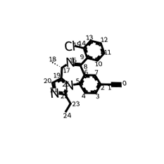 C#Cc1ccc2c(c1)C(c1ccccc1Cl)=N[C@@H](C)c1cnc(CC)n1-2